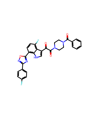 O=C(C(=O)N1CCN(C(=O)c2ccccc2)CC1)c1c[nH]c2c(-c3nc(-c4ccc(F)cc4)no3)ccc(F)c12